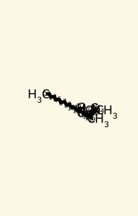 CCCCCCCCCCCCCC(=O)OCCN(C)C(=O)CN(C)C